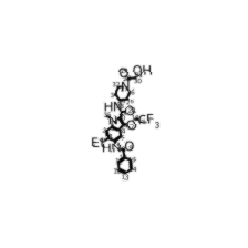 CCc1cc2c(cc1NC(=O)c1ccccc1)c(OCC(F)(F)F)c(C(=O)NC1CCN(C(=O)CO)CC1)n2C